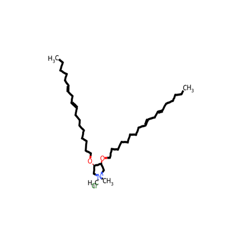 CCCCCC=CCC=CCCCCCCCCO[C@H]1C[N+](C)(C)C[C@@H]1OCCCCCCCCC=CCC=CCCCCC.[Cl-]